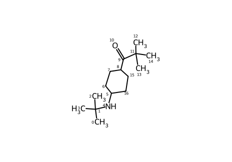 CC(C)(C)NC1CCC(C(=O)C(C)(C)C)CC1